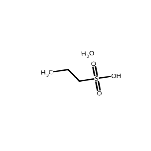 CCCS(=O)(=O)O.O